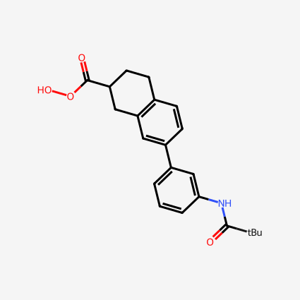 CC(C)(C)C(=O)Nc1cccc(-c2ccc3c(c2)CC(C(=O)OO)CC3)c1